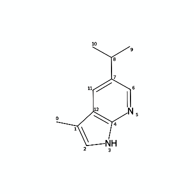 Cc1c[nH]c2ncc(C(C)C)cc12